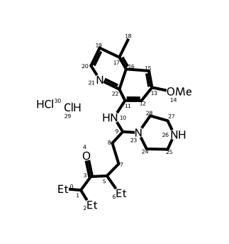 CCC(CC)C(=O)C(CC)CCC(Nc1cc(OC)cc2c(C)ccnc12)N1CCNCC1.Cl.Cl